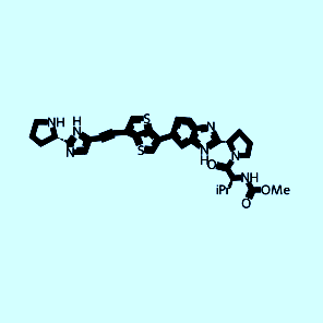 COC(=O)N[C@H](C(=O)N1CCC[C@H]1c1nc2ccc(-c3csc4c(C#Cc5cnc([C@@H]6CCCN6)[nH]5)csc34)cc2[nH]1)C(C)C